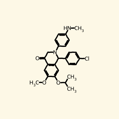 CNc1ccc(N2CC(=O)c3cc(OC)c(OC(C)C)cc3C2c2ccc(Cl)cc2)cc1